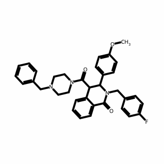 COc1ccc(C2C(C(=O)N3CCN(Cc4ccccc4)CC3)c3ccccc3C(=O)N2Cc2ccc(F)cc2)cc1